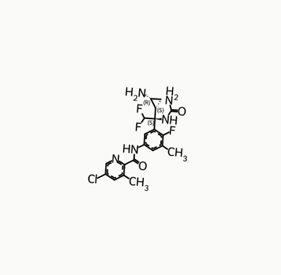 Cc1cc(Cl)cnc1C(=O)Nc1cc(C)c(F)c([C@](NC(N)=O)(C(F)F)[C@H]2C[C@H]2N)c1